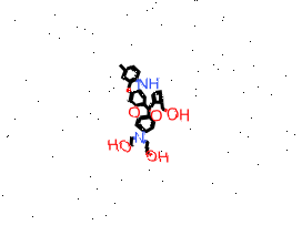 Cc1ccc(Nc2cc3c(cc2C)Oc2cc(N(CCO)CCO)ccc2C32OC(O)c3ccccc32)c(C)c1